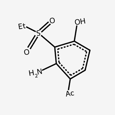 CCS(=O)(=O)c1c(O)ccc(C(C)=O)c1N